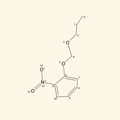 CCCOCOc1ccccc1[N+](=O)[O-]